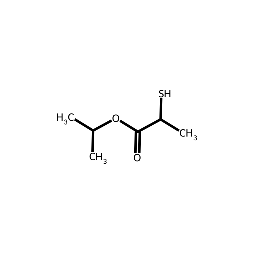 CC(C)OC(=O)C(C)S